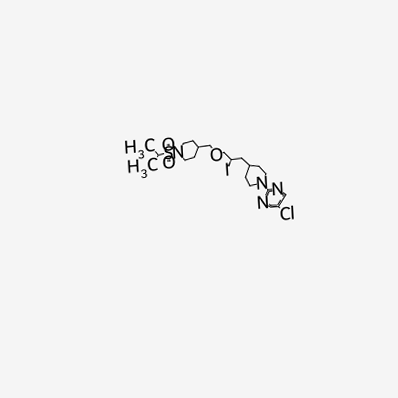 CC(C)S(=O)(=O)N1CCC(COC[C@H](I)CC2CCN(c3ncc(Cl)cn3)CC2)CC1